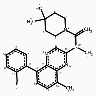 C=C(N1CCC(C)(O)CC1)N(C)c1cnc2c(-c3ccccc3F)ccc(C)c2n1